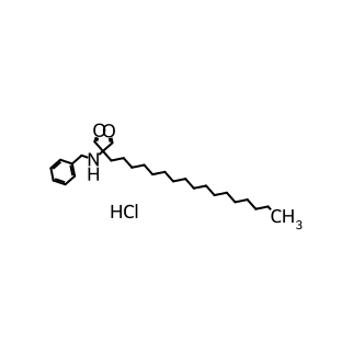 CCCCCCCCCCCCCCCCCC(C=O)(C=O)NCc1ccccc1.Cl